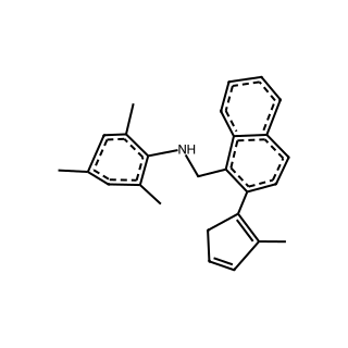 CC1=C(c2ccc3ccccc3c2CNc2c(C)cc(C)cc2C)CC=C1